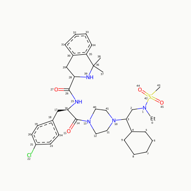 CCN(CC(C1CCCCC1)N1CCN(C(=O)[C@@H](Cc2ccc(Cl)cc2)NC(=O)C2Cc3ccccc3C(C)(C)N2)CC1)S(C)(=O)=O